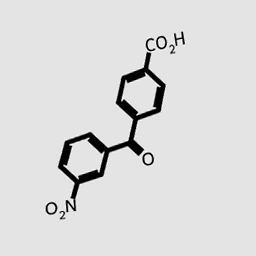 O=C(O)c1ccc(C(=O)c2cccc([N+](=O)[O-])c2)cc1